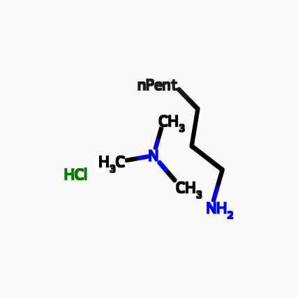 CCCCCCCCN.CN(C)C.Cl